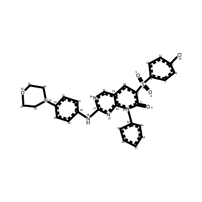 O=c1c(S(=O)(=O)c2ccc(Cl)cc2)cc2cnc(Nc3ccc(N4CCOCC4)cc3)nc2n1-c1ccccc1